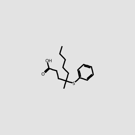 CCCCCC(C)(CCC(=O)O)Sc1ccccc1